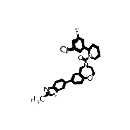 Cc1nc2ccc(-c3ccc4c(c3)CN(C(=O)N3CCCCC3c3cc(F)cc(Cl)c3)CCO4)cc2s1